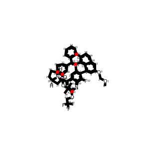 COCOc1cc(-c2c(N=C(c3ccccc3)c3ccccc3)cc3c(N4C[C@H]5CC[C@@H](C4)N5C(=O)OC(C)(C)C)nc(OCC(F)(F)F)nc3c2F)c2c(F)c(F)ccc2c1